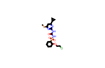 CSc1cc(C2CC2)nc(NC(=O)NS(=O)(=O)c2ccccc2OCCCl)n1